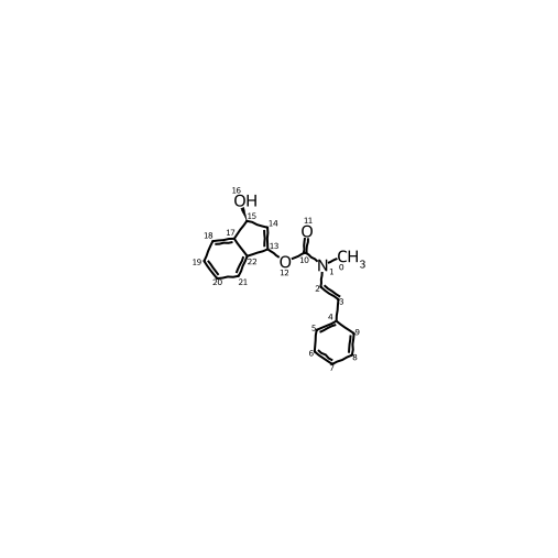 CN(C=Cc1ccccc1)C(=O)OC1=C[C@H](O)c2ccccc21